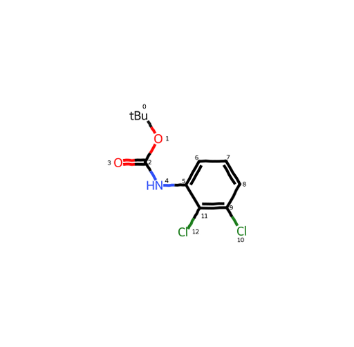 CC(C)(C)OC(=O)Nc1cccc(Cl)c1Cl